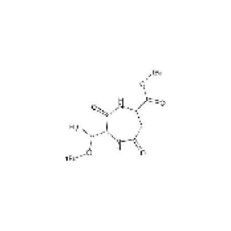 CC(OC(C)(C)C)C1NC(=O)CC(C(=O)OC(C)(C)C)NC1=O